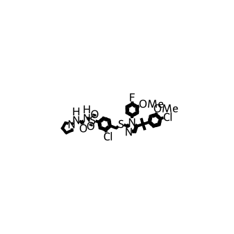 COc1cc(-n2c(C(C)(C)c3ccc(Cl)c(OC)c3)cnc2SCc2ccc(S(=O)(=O)NC(=O)NN3CCCC3)cc2Cl)ccc1F